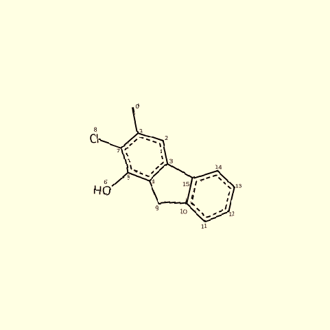 Cc1cc2c(c(O)c1Cl)Cc1ccccc1-2